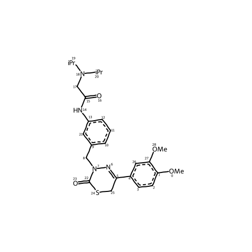 COc1ccc(C2=NN(Cc3cccc(NC(=O)CN(C(C)C)C(C)C)c3)C(=O)SC2)cc1OC